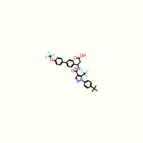 CC(C)(C)c1ccc(-n2ncc(C(=O)NC(CC(=O)O)c3ccc(-c4ccc(OC(F)(F)F)cc4)cc3)c2C(F)(F)F)cc1